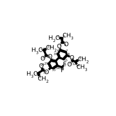 C=C(C)C(=O)Oc1cc(OC(=O)C(=C)C)cc(-c2c(OC(=O)C(=C)C)cc(OC(=O)C(=C)C)cc2C(F)F)c1